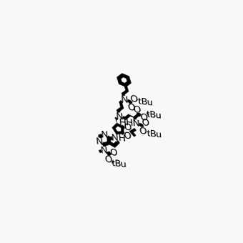 CN(C(=O)OC(C)(C)C)c1ncnc2c1ccn2[C@@H]1C[C@H](CN(CCCN(CCc2ccccc2)C(=O)OC(C)(C)C)CC[C@H](NC(=O)OC(C)(C)C)C(=O)OC(C)(C)C)[C@H]2OC(C)(C)O[C@H]21